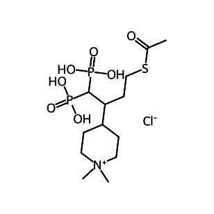 CC(=O)SCCC(C1CC[N+](C)(C)CC1)C(P(=O)(O)O)P(=O)(O)O.[Cl-]